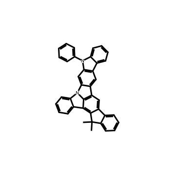 CC1(C)c2ccccc2-c2cc3c4cc5c6ccccc6n(-c6ccccc6)c5cc4n4c5ccccc5c(c21)c34